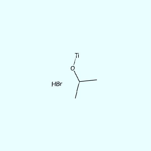 Br.CC(C)[O][Ti]